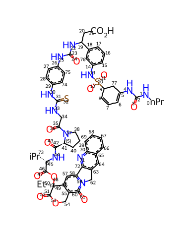 CCCNC(=O)NC1=CC=CC(S(=O)(=O)Nc2cccc(C(CC(=O)O)NC(=O)Nc3ccc(NC(=S)NCC(=O)N4CCC[C@H]4C(=O)N[C@H](C(=O)O[C@]4(CC)C(=O)OCc5c4cc4n(c5=O)Cc5cc6ccccc6nc5-4)C(C)C)cc3)c2)C1